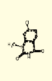 Cn1c(=O)[nH]c(=O)c2ccc(Cl)cc21